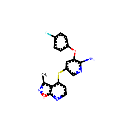 Cc1noc2nccc(Sc3cnc(N)c(Oc4ccc(F)cc4)c3)c12